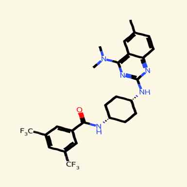 Cc1ccc2nc(N[C@H]3CC[C@@H](NC(=O)c4cc(C(F)(F)F)cc(C(F)(F)F)c4)CC3)nc(N(C)C)c2c1